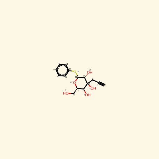 C#CC[C@]1(O)[C@@H](O)[C@@H](CO)O[C@@H](Sc2ccccc2)[C@@H]1O